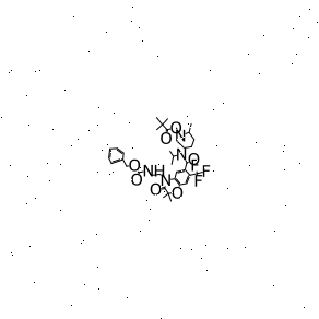 CC1CCC(N(C(=O)c2cc3c(cc2C(F)(F)F)OC(C)(C)C(=O)N3CCNC(=O)OCc2ccccc2)C(C)C)CN1OC(=O)C(C)(C)C